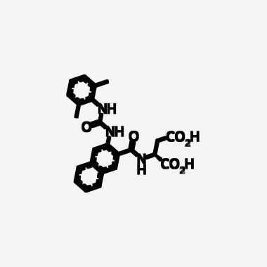 Cc1cccc(C)c1NC(=O)Nc1cc2ccccc2cc1C(=O)N[C@@H](CC(=O)O)C(=O)O